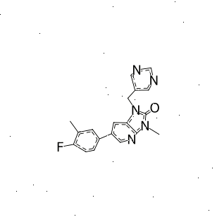 Cc1cc(-c2cnc3c(c2)n(Cc2cncnc2)c(=O)n3C)ccc1F